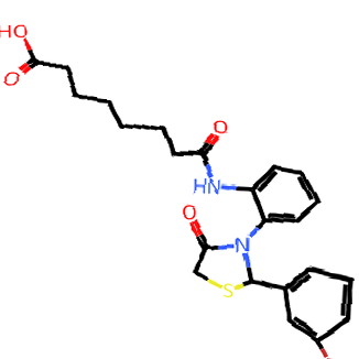 O=C(O)CCCCCCC(=O)Nc1ccccc1N1C(=O)CSC1c1cccc(Br)c1